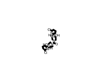 O=C(N1CC[SH](O)(O)(c2cccc(Cl)n2)CC1)N1CC[SH](O)(O)(c2cccc(Cl)n2)CC1